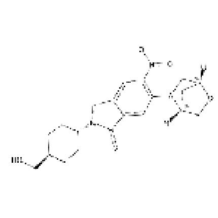 O=C1c2cc(N3C[C@H]4C[C@@H]3CO4)c([N+](=O)[O-])cc2CN1[C@H]1CC[C@H](CO)CC1